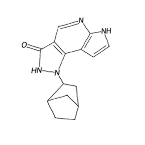 O=c1[nH]n(C2CC3CCC2C3)c2c1cnc1[nH]ccc12